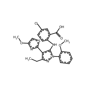 CCc1nn(-c2ccccc2OC)c(Nc2ccc(Cl)cc2C(=O)O)c1-c1nc(OC)cs1